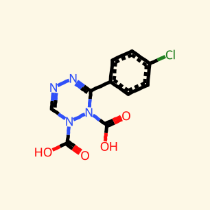 O=C(O)N1C=NN=C(c2ccc(Cl)cc2)N1C(=O)O